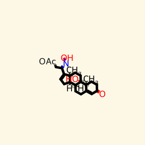 CC(=O)OCC(=NO)C1=CC[C@H]2[C@@H]3CCC4=CC(=O)CC[C@]4(C)[C@@]3(O)CC[C@]12C